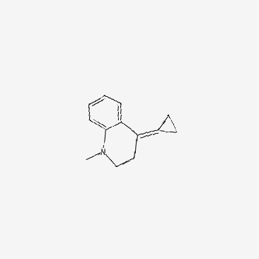 CN1CCC(=C2CC2)c2ccccc21